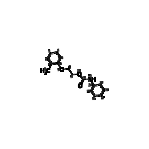 Cc1ccccc1OCCOC(=O)Nc1ccccc1